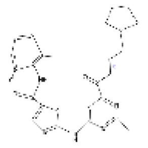 Cc1nc(Nc2ncc(C(=O)Nc3c(C)cccc3Cl)s2)cc(C(=O)/C=C/CN2CCCC2)n1